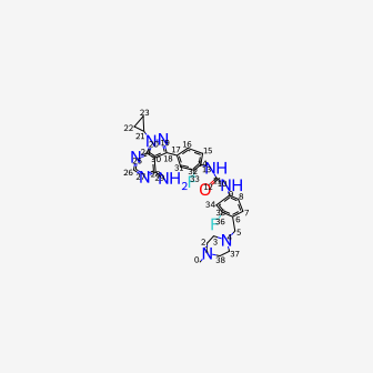 CN1CCN(Cc2ccc(NC(=O)Nc3ccc(-c4nn(C5CC5)c5ncnc(N)c45)cc3F)cc2F)CC1